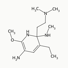 CCC1=CC(N)=C(OC)NC1(CCN(C)C)NC